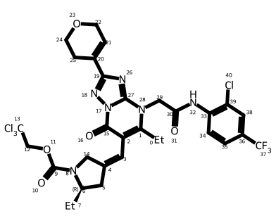 CCc1c(C=C2C[C@@H](CC)N(C(=O)OCC(Cl)(Cl)Cl)C2)c(=O)n2nc(C3=CCOCC3)nc2n1CC(=O)Nc1ccc(C(F)(F)F)cc1Cl